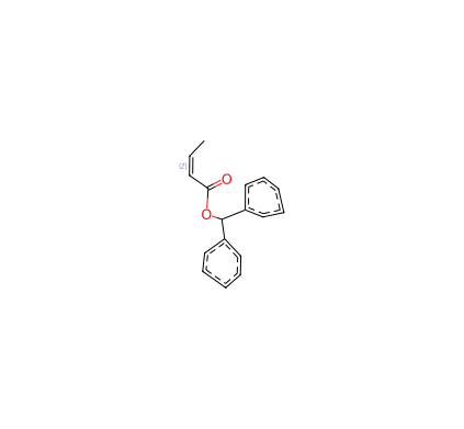 C/C=C\C(=O)OC(c1ccccc1)c1ccccc1